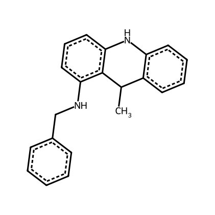 CC1c2ccccc2Nc2cccc(NCc3ccccc3)c21